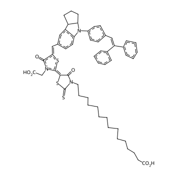 O=C(O)CCCCCCCCCCCCCCN1C(=O)/C(=c2\s/c(=C\c3ccc4c(c3)C3CCCC3N4c3ccc(C=C(c4ccccc4)c4ccccc4)cc3)c(=O)n2CC(=O)O)SC1=S